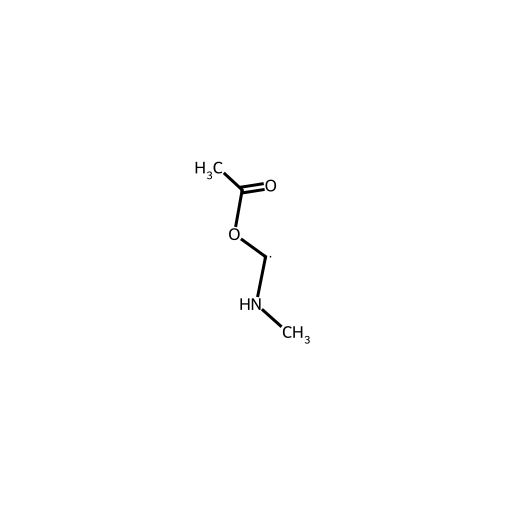 CN[CH]OC(C)=O